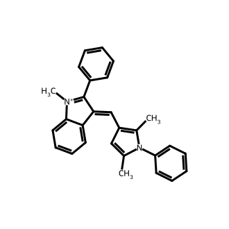 Cc1cc(C=C2C(c3ccccc3)=[N+](C)c3ccccc32)c(C)n1-c1ccccc1